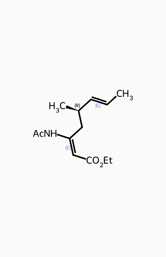 C/C=C/[C@H](C)C/C(=C\C(=O)OCC)NC(C)=O